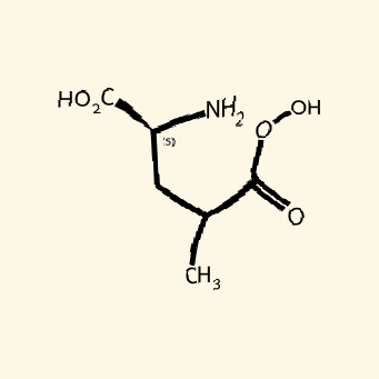 CC(C[C@H](N)C(=O)O)C(=O)OO